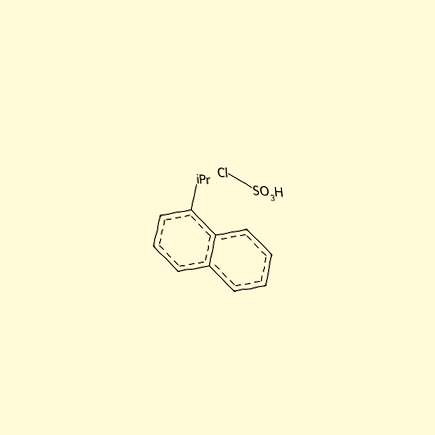 CC(C)c1cccc2ccccc12.O=S(=O)(O)Cl